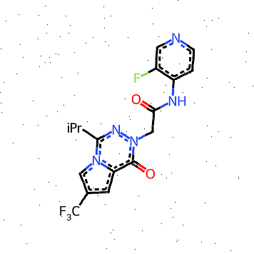 CC(C)c1nn(CC(=O)Nc2ccncc2F)c(=O)c2cc(C(F)(F)F)cn12